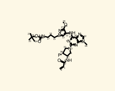 C=CC(=O)N[C@@H]1CN(c2nc(Nc3cn(CCCNC(=O)OC(C)(C)C)nc3OC)c3ncn(C)c3n2)C[C@H]1F